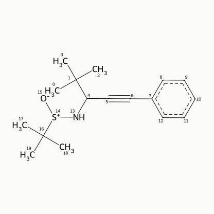 CC(C)(C)C(C#Cc1ccccc1)N[S+]([O-])C(C)(C)C